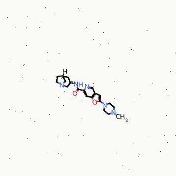 CN1CCN(c2cc3cnc(C(=O)N[C@@H]4C[C@H]5CCN(C5)C4)cc3o2)CC1